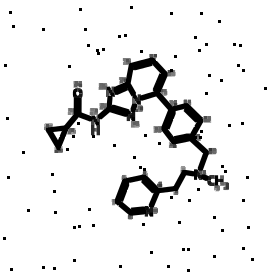 CN(CCc1ccccn1)Cc1ccc(-c2cccc3nc(NC(=O)C4CC4)nn23)cc1